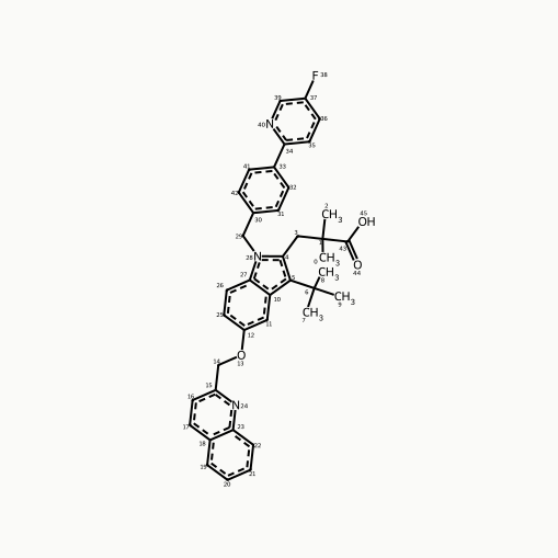 CC(C)(Cc1c(C(C)(C)C)c2cc(OCc3ccc4ccccc4n3)ccc2n1Cc1ccc(-c2ccc(F)cn2)cc1)C(=O)O